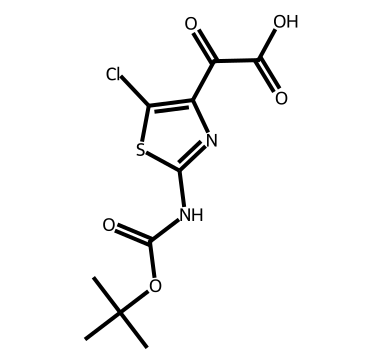 CC(C)(C)OC(=O)Nc1nc(C(=O)C(=O)O)c(Cl)s1